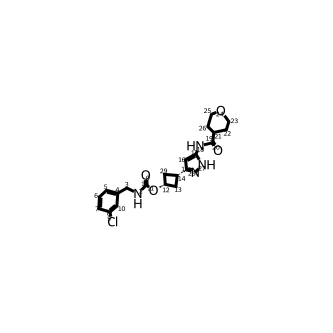 O=C(NCc1cccc(Cl)c1)O[C@H]1C[C@@H](c2cc(NC(=O)C3CCOCC3)[nH]n2)C1